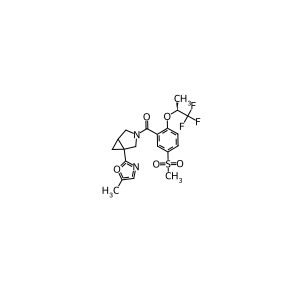 Cc1cnc(C23CC2CN(C(=O)c2cc(S(C)(=O)=O)ccc2O[C@@H](C)C(F)(F)F)C3)o1